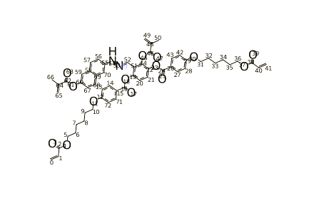 C=CC(=O)OCCCCCCOc1ccc(C(=O)Oc2ccc(OC(=O)c3ccc(OCCCCCCOC(=O)C=C)cc3)c(OC(=O)C(=C)C)c2/C=N/Nc2ccc3cc(OC(=O)C(=C)C)ccc3c2)cc1